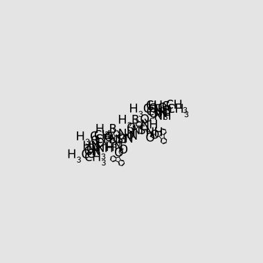 Bc1cc(NC(=O)CCCCN/C(=N/C(=O)OC(C)(C)C)NC(=O)OC(C)(C)C)c(SCCNC(=O)OCC2c3ccccc3-c3ccccc32)c(NC(=O)c2cc(C(=O)Nc3cc(B)cc(NC(=O)CCCCN/C(=N/C(=O)OC(C)(C)C)NC(=O)OC(C)(C)C)c3SCCNC(=O)OCC3c4ccccc4-c4ccccc43)ncn2)c1